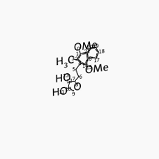 COc1c(C)c(CCC2OCC(O)C2O)c(OC)c2ccccc12